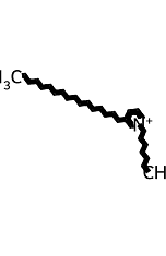 CCCCCCCCCCCCCCCCCc1ccc[n+](CCCCCCC)c1